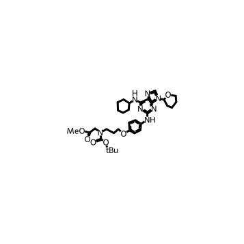 COC(=O)CN(CCCOc1ccc(Nc2nc(NC3CCCCC3)c3ncn(C4CCCCO4)c3n2)cc1)C(=O)OC(C)(C)C